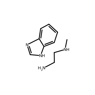 CNCCN.c1ccc2[nH]cnc2c1